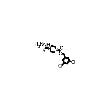 NNC(=S)N1CCN(C(=O)OCc2cc(Cl)cc(Cl)c2)CC1